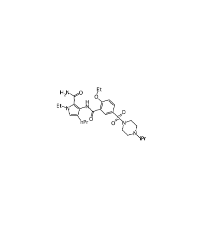 CCCc1cn(CC)c(C(N)=O)c1NC(=O)c1cc(S(=O)(=O)N2CCN(C(C)C)CC2)ccc1OCC